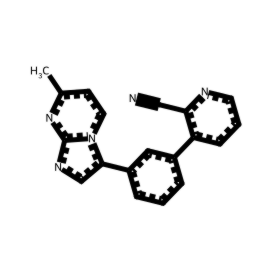 Cc1ccn2c(-c3cccc(-c4cccnc4C#N)c3)cnc2n1